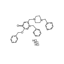 Cl.Cl.Cl.O=c1cc(CN2CCN(Cc3ccccc3)CC2)n(Cc2ccccc2)cc1OCc1ccccc1